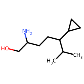 CC(C)C(CCC(N)CO)C1CC1